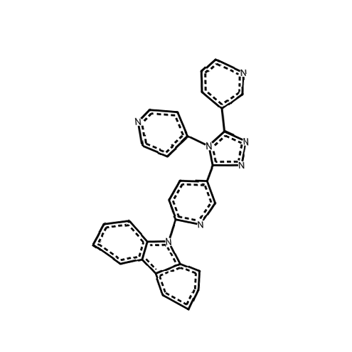 c1cncc(-c2nnc(-c3ccc(-n4c5ccccc5c5ccccc54)nc3)n2-c2ccncc2)c1